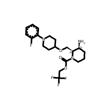 N[C@H]1CCCN(C(=O)OCC(F)(F)F)[C@H]1COC1CCN(c2ccccc2F)CC1